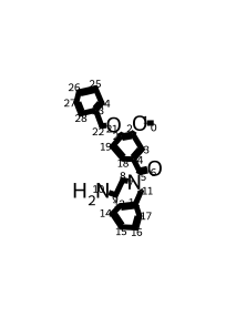 COc1cc(C(=O)N(CCN)Cc2ccccc2)ccc1OCc1ccccc1